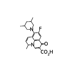 CC1CC(C)CN(c2c(F)cc3c(=O)c(C(=O)O)cn4c3c2C=CC4C)C1